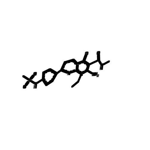 CCn1c(N)c(C(=O)NC)c(=O)c2ccc(-c3ccc(NS(C)(=O)=O)cc3)nc21